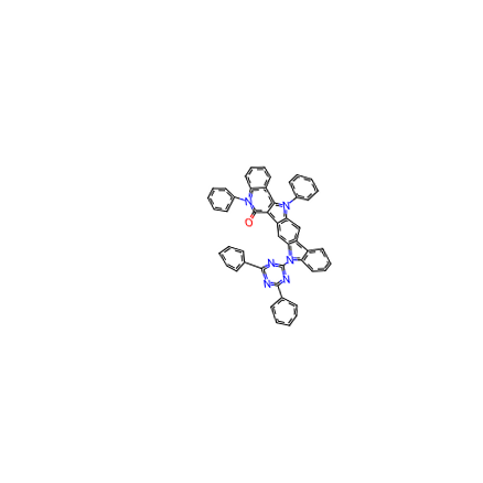 O=c1c2c3cc4c(cc3n(-c3ccccc3)c2c2ccccc2n1-c1ccccc1)c1ccccc1n4-c1nc(-c2ccccc2)nc(-c2ccccc2)n1